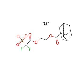 O=C(OCCOC(=O)C(F)(F)S(=O)(=O)[O-])C12CC3CC(CC(C3)C1)C2.[Na+]